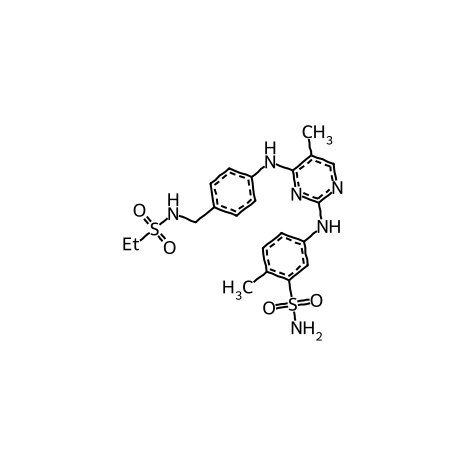 CCS(=O)(=O)NCc1ccc(Nc2nc(Nc3ccc(C)c(S(N)(=O)=O)c3)ncc2C)cc1